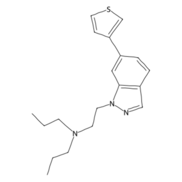 CCCN(CCC)CCn1ncc2ccc(-c3ccsc3)cc21